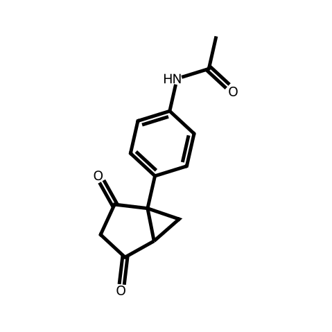 CC(=O)Nc1ccc(C23CC2C(=O)CC3=O)cc1